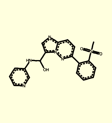 CS(=O)(=O)c1ccccc1-c1ccc2ncc(C(O)Nc3cccnc3)n2n1